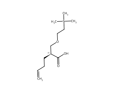 C=CCC[C@@H](COCC[Si](C)(C)C)C(=O)O